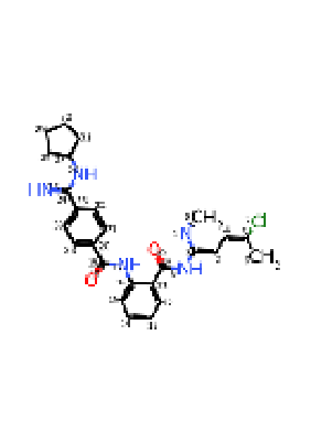 C=N/C(=C\C=C(/C)Cl)NC(=O)c1ccccc1NC(=O)c1ccc(C(=N)NC2CCCC2)cc1